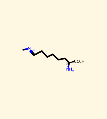 C/N=C/CCCCC[C@H](N)C(=O)O